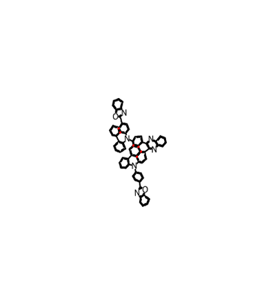 c1ccc(-c2ccccc2N(c2ccc(-c3nc4ccccc4o3)cc2)c2ccc(-c3nc4ccccc4nc3-c3ccc(N(c4ccc(-c5nc6ccccc6o5)cc4)c4ccccc4-c4ccccc4)cc3)cc2)cc1